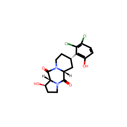 O=C1[C@H]2[C@H](O)CCN2C(=O)[C@H]2C[C@@H](c3c(O)ccc(Cl)c3Cl)CCN12